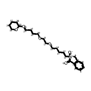 O=C1c2ccccc2C[N+]1([O-])CCCCCOCCOCCCCOC1CCCCO1